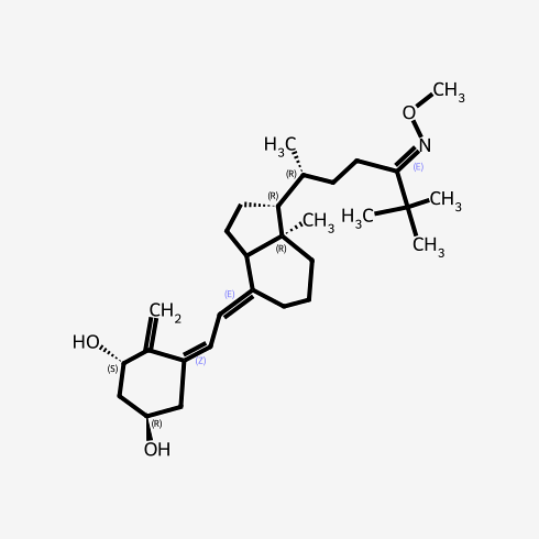 C=C1/C(=C\C=C2/CCC[C@@]3(C)C2CC[C@@H]3[C@H](C)CC/C(=N\OC)C(C)(C)C)C[C@@H](O)C[C@@H]1O